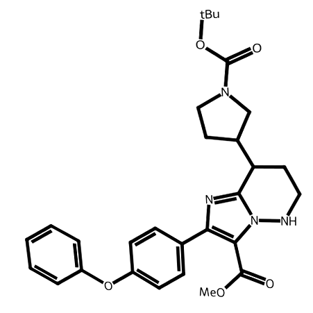 COC(=O)c1c(-c2ccc(Oc3ccccc3)cc2)nc2n1NCCC2C1CCN(C(=O)OC(C)(C)C)C1